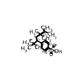 CC(C)C(C)(C)CC(c1ccc(S(=O)(=O)O)cc1)C(C)(C)C